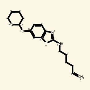 C=CCCCCNc1nc2ccc(OC3CCCCO3)cc2s1